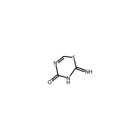 N=c1[nH]c(=O)ncs1